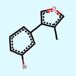 [CH2]c1cocc1-c1cccc(Br)c1